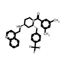 Cc1cc(C)cc(C(=O)N2CC[C@H](NCc3ccnc4ccccc34)C[C@H]2Cc2ccc(C(F)(F)F)cc2)c1